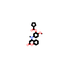 COc1ccc(N(C)c2cc(=O)oc3ccccc23)cc1OC(=O)C1CCCC1